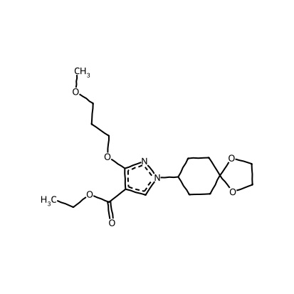 CCOC(=O)c1cn(C2CCC3(CC2)OCCO3)nc1OCCCOC